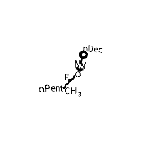 CCCCCCCCCCc1ccc(-c2ncc(OCCC(F)CCC(C)CCCCC)cn2)cc1